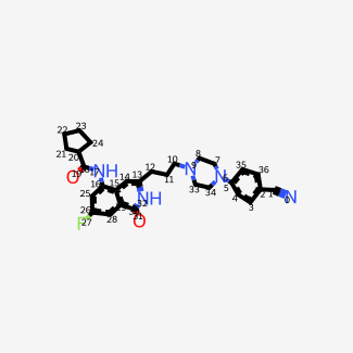 N#Cc1ccc(N2CCN(CCCc3cc4c(NC(=O)C5CCCC5)cc(F)cc4c(=O)[nH]3)CC2)cc1